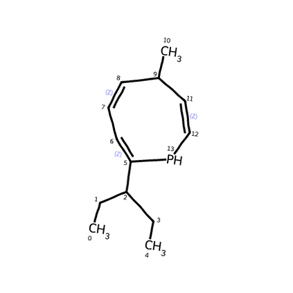 CCC(CC)/C1=C/C=C\C(C)/C=C\P1